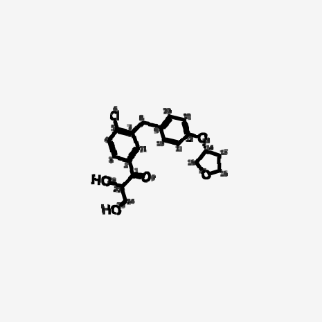 O=C(c1ccc(Cl)c(Cc2ccc(O[C@@H]3CCOC3)cc2)c1)C(O)CO